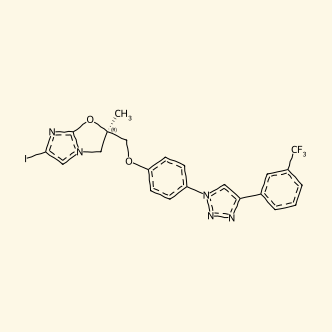 C[C@]1(COc2ccc(-n3cc(-c4cccc(C(F)(F)F)c4)nn3)cc2)Cn2cc(I)nc2O1